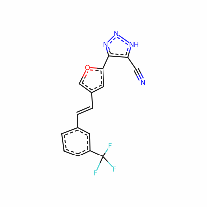 N#Cc1[nH]nnc1-c1cc(C=Cc2cccc(C(F)(F)F)c2)co1